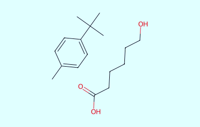 Cc1ccc(C(C)(C)C)cc1.O=C(O)CCCCCO